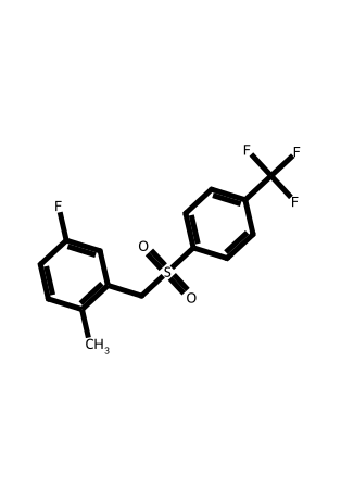 Cc1ccc(F)cc1CS(=O)(=O)c1ccc(C(F)(F)F)cc1